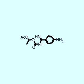 CC(=O)OC(C)OC(=O)NC(=N)c1ccc(N)cc1